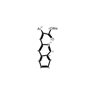 COC(=O)C(=Cc1cc2ccccc2cn1)C(C)=O